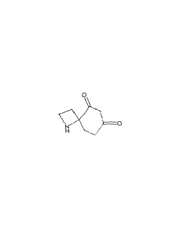 O=C1CCC2(CCN2)C(=O)C1